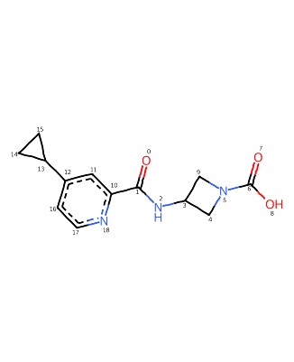 O=C(NC1CN(C(=O)O)C1)c1cc(C2CC2)ccn1